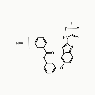 CC(C)(C#N)c1cccc(C(=O)Nc2cccc(Oc3ccc4nc(NC(=O)C(F)(F)F)cn4c3)c2)c1